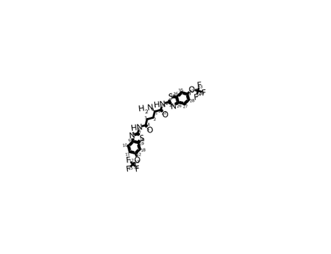 N[C@@H](CCC(=O)Nc1nc2ccc(OC(F)(F)F)cc2s1)C(=O)Nc1nc2ccc(OC(F)(F)F)cc2s1